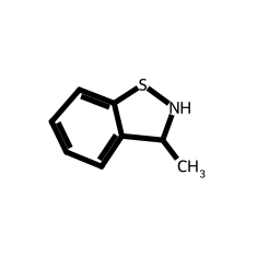 CC1NSc2ccccc21